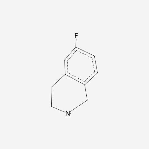 Fc1ccc2c(c1)CC[N]C2